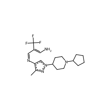 Cc1nn(C2CCN(C3CCCC3)CC2)cc1/N=C\C(=C\N)C(F)(F)F